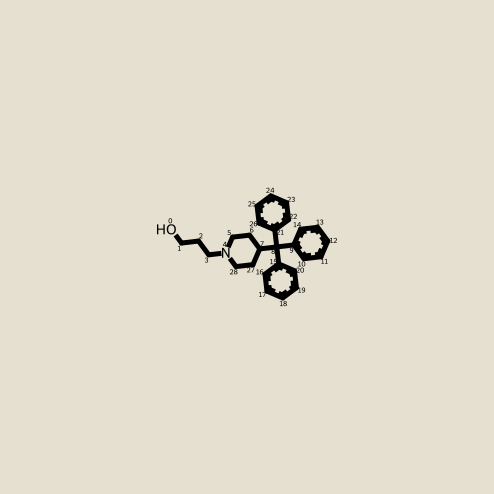 OCCCN1CCC(C(c2ccccc2)(c2ccccc2)c2ccccc2)CC1